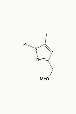 COCc1cc(C)n(C(C)C)n1